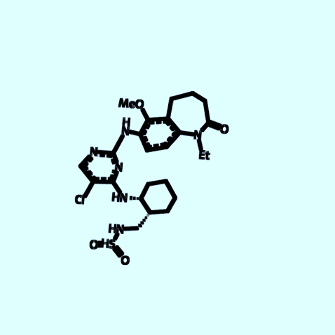 CCN1C(=O)CCCc2c1ccc(Nc1ncc(Cl)c(N[C@@H]3CCCC[C@@H]3CN[SH](=O)=O)n1)c2OC